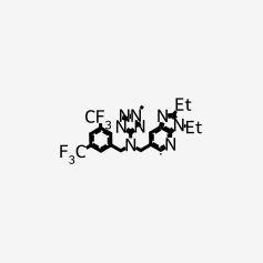 CCc1nc2cc(CN(Cc3cc(C(F)(F)F)cc(C(F)(F)F)c3)c3nnn(C)n3)[c]nc2n1CC